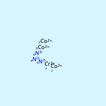 [Co+2].[Co+2].[Co+2].[Cr+3].[N-3].[N-3].[N-3]